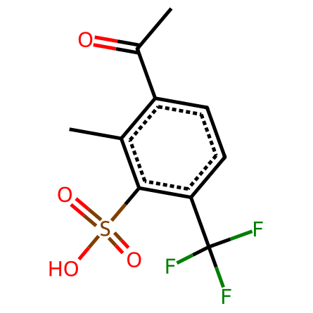 CC(=O)c1ccc(C(F)(F)F)c(S(=O)(=O)O)c1C